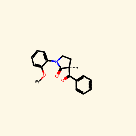 CC(C)Oc1ccccc1N1CC[C@@](C)(C(=O)c2ccccc2)C1=O